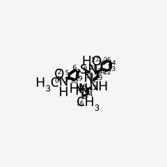 CC(=O)Nc1ccc(Sc2nc(Nc3cc(C)n[nH]3)cc(-c3ccccc3O)n2)cc1